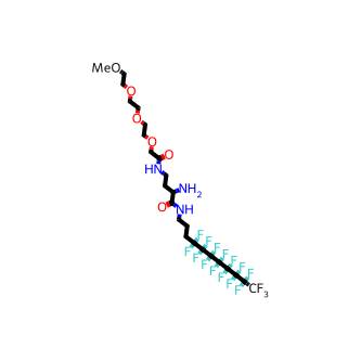 COCCOCCOCCOCC(=O)NCCC(N)C(=O)NCCCC(F)(F)C(F)(F)C(F)(F)C(F)(F)C(F)(F)C(F)(F)C(F)(F)C(F)(F)F